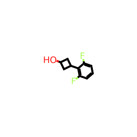 OC1CC(c2c(F)cccc2F)C1